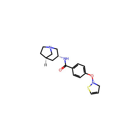 O=C(N[C@@H]1C[C@H]2CCN(C2)C1)c1ccc(ON2CC=CS2)cc1